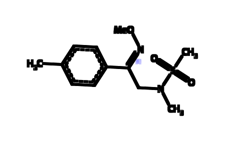 CO/N=C(/CN(C)S(C)(=O)=O)c1ccc(C)cc1